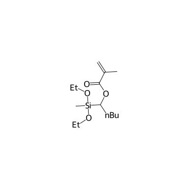 C=C(C)C(=O)OC(CCCC)[Si](C)(OCC)OCC